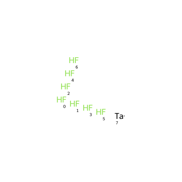 F.F.F.F.F.F.F.[Ta]